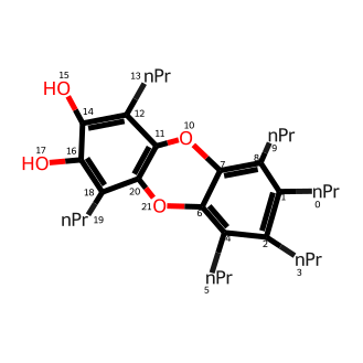 CCCc1c(CCC)c(CCC)c2c(c1CCC)Oc1c(CCC)c(O)c(O)c(CCC)c1O2